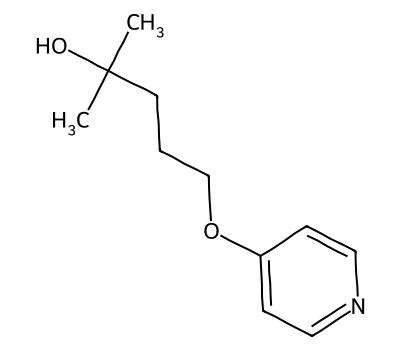 CC(C)(O)CCCOc1ccncc1